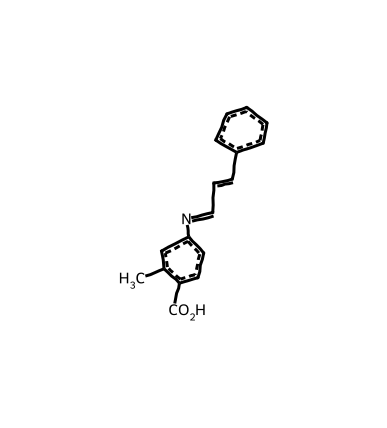 Cc1cc(N=CC=Cc2ccccc2)ccc1C(=O)O